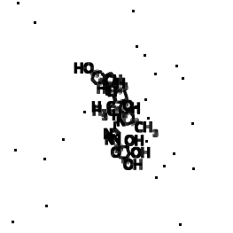 CC1=C2C[C@H]3[C@@H](CC=C4C[C@@H](O)CC[C@@]43C)[C@@H]2CC[C@]12O[C@@H]1C[C@H](C)CN(Cc3cn([C@@H]4OC[C@@H](O)C(O)C4O)nn3)[C@H]1[C@H]2C